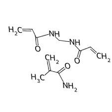 C=C(C)C(N)=O.C=CC(=O)NCNC(=O)C=C